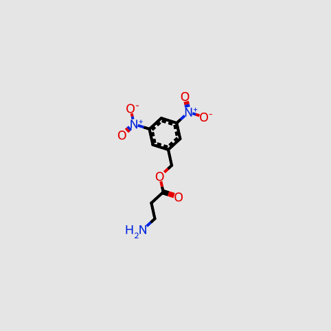 NCCC(=O)OCc1cc([N+](=O)[O-])cc([N+](=O)[O-])c1